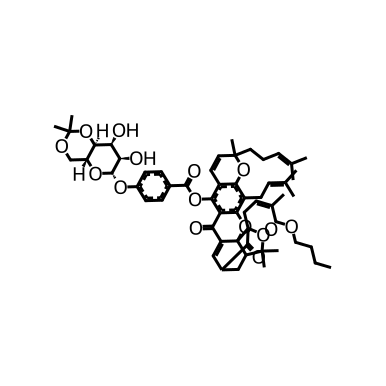 CCCCOC(=O)/C(C)=C\CC12OC(C)(C)C3CC(C=C4C(=O)c5c(OC(=O)c6ccc(O[C@@H]7O[C@@H]8COC(C)(C)O[C@H]8[C@@H](O)[C@H]7O)cc6)c6c(c(CC=C(C)C)c5OC431)OC(C)(CCC=C(C)C)C=C6)C2=O